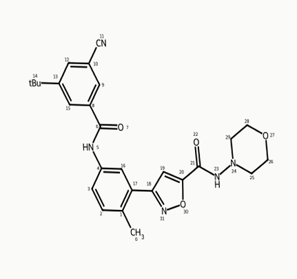 Cc1ccc(NC(=O)c2cc(C#N)cc(C(C)(C)C)c2)cc1-c1cc(C(=O)NN2CCOCC2)on1